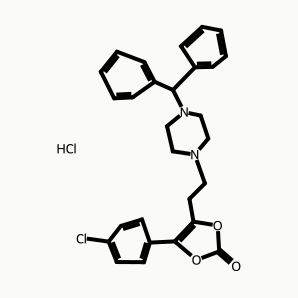 Cl.O=c1oc(CCN2CCN(C(c3ccccc3)c3ccccc3)CC2)c(-c2ccc(Cl)cc2)o1